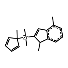 Cc1cccc2c1C=[C]([Zr]([CH3])([CH3])[C]1(C)C=CC=C1)C2C